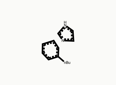 CCCCc1ccccc1.c1c[nH]cn1